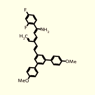 C=CC(/C=C/c1cc(-c2ccc(OC)cc2)cc(-c2ccc(OC)cc2)c1)=C\C=C(/N)c1ccc(F)cc1F